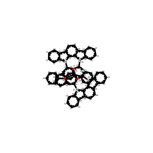 c1ccc(-c2cccc(-n3c4ccccc4c4ccc5c6ccccc6n(-c6nc(-c7ccccc7)nc(-n7c8ccccc8c8ccc9c%10ccccc%10n(-c%10cccc(-c%11ccccc%11)c%10)c9c87)n6)c5c43)c2)cc1